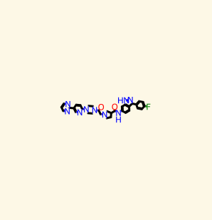 O=C(Nc1ccc2c(-c3ccc(F)cc3)n[nH]c2c1)C1CCN(CC(=O)N2CCN(c3ccc(-c4ncccn4)cn3)CC2)C1